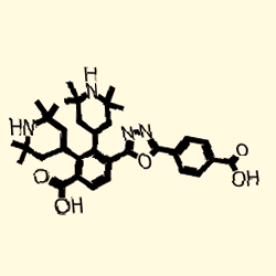 CC1(C)CC(c2c(C(=O)O)ccc(-c3nnc(-c4ccc(C(=O)O)cc4)o3)c2C2CC(C)(C)NC(C)(C)C2)CC(C)(C)N1